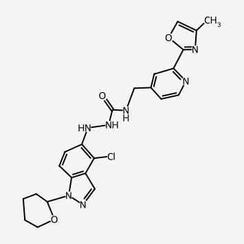 Cc1coc(-c2cc(CNC(=O)NNc3ccc4c(cnn4C4CCCCO4)c3Cl)ccn2)n1